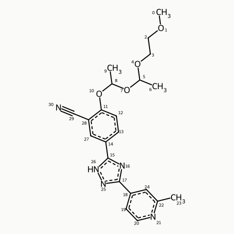 COCCOC(C)OC(C)Oc1ccc(-c2nc(-c3ccnc(C)c3)n[nH]2)cc1C#N